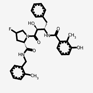 Cc1ccccc1CNC(=O)[C@@H]1CC(F)CN1C(=O)[C@@H](O)[C@H](Cc1ccccc1)NC(=O)c1cccc(O)c1C